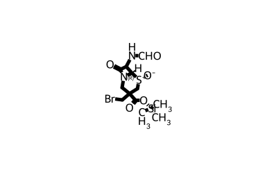 C[Si](C)(C)OC(=O)C1(CBr)CN2C(=O)C(NC=O)[C@H]2[S+]([O-])C1